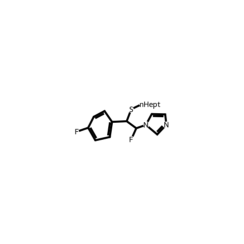 CCCCCCCSC(c1ccc(F)cc1)C(F)n1ccnc1